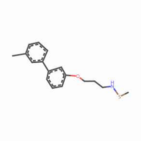 CSNCCCOc1cccc(-c2cccc(C)c2)c1